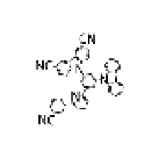 N#Cc1cccc(-c2cccc(-c3cc(-n4c5ccccc5c5ccccc54)cc(-n4c5ccc(C#N)cc5c5cc(C#N)ccc54)c3)n2)c1